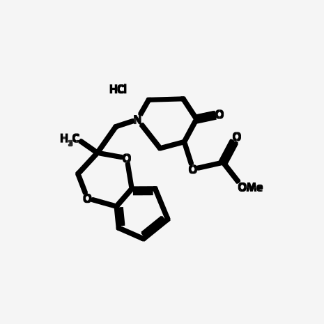 COC(=O)OC1CN(CC2(C)COc3ccccc3O2)CCC1=O.Cl